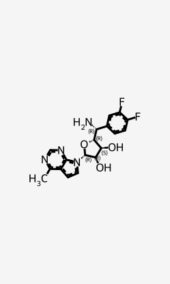 Cc1ncnc2c1ccn2[C@@H]1O[C@H]([C@H](N)c2ccc(F)c(F)c2)[C@@H](O)[C@H]1O